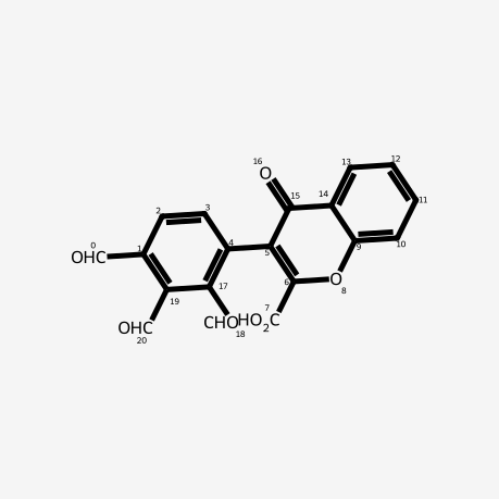 O=Cc1ccc(-c2c(C(=O)O)oc3ccccc3c2=O)c(C=O)c1C=O